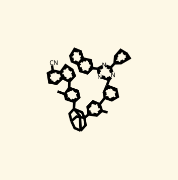 Cc1cc(C23CC4CC(C2)CC(c2ccc(-c5cccc6c(C#N)cccc56)c(C)c2)(C4)C3)ccc1-c1cccc(-c2nc(-c3ccccc3)nc(-c3ccc4ccccc4c3)n2)c1